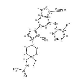 CC(=O)N1CCC2(CCC(n3ncc(-c4cc(Sc5ncccc5F)c5c(C#N)cnn5c4)c3C)CC2)C1